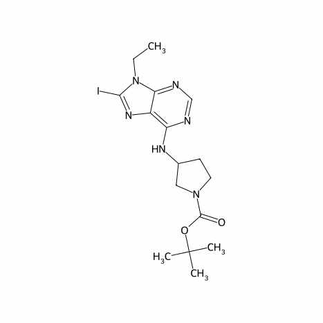 CCn1c(I)nc2c(NC3CCN(C(=O)OC(C)(C)C)C3)ncnc21